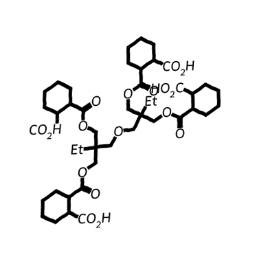 CCC(COCC(CC)(COC(=O)C1CCCCC1C(=O)O)COC(=O)C1CCCCC1C(=O)O)(COC(=O)C1CCCCC1C(=O)O)COC(=O)C1CCCCC1C(=O)O